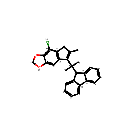 CC1=C(C(C)(C)C2c3ccccc3-c3ccccc32)c2cc3c(c(Br)c2C1)OCO3